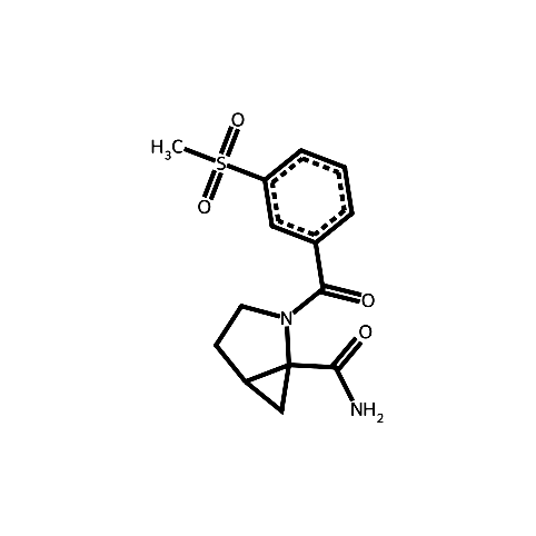 CS(=O)(=O)c1cccc(C(=O)N2CCC3CC32C(N)=O)c1